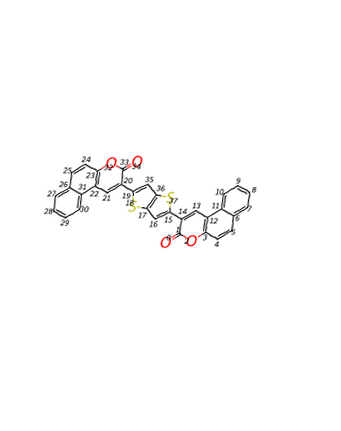 O=c1oc2ccc3ccccc3c2cc1-c1cc2sc(-c3cc4c(ccc5ccccc54)oc3=O)cc2s1